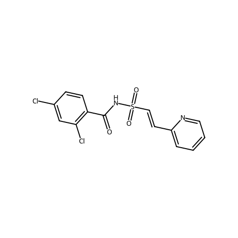 O=C(NS(=O)(=O)C=Cc1ccccn1)c1ccc(Cl)cc1Cl